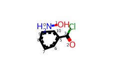 NO.O=C(Cl)c1ccccc1